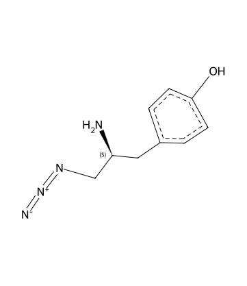 [N-]=[N+]=NC[C@@H](N)Cc1ccc(O)cc1